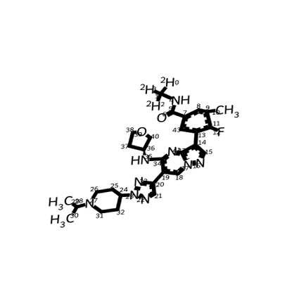 [2H]C([2H])([2H])NC(=O)c1cc(C)c(F)c(-c2cnn3cc(-c4cnn(C5CCN(C(C)C)CC5)n4)c(N[C@H]4CCOC4)nc23)c1